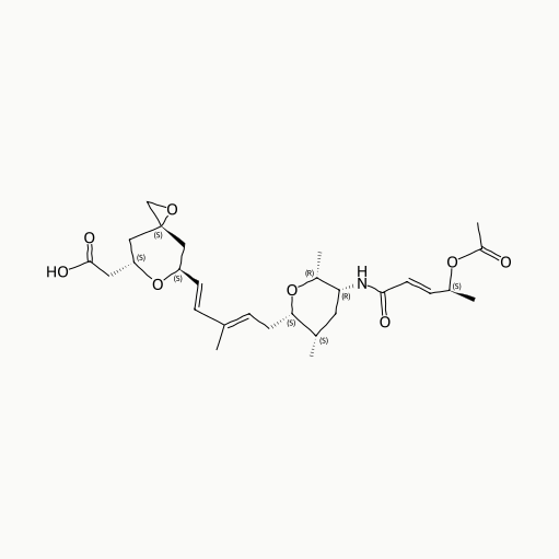 CC(=O)O[C@@H](C)C=CC(=O)N[C@@H]1C[C@H](C)[C@H](CC=C(C)C=C[C@@H]2C[C@]3(CO3)C[C@@H](CC(=O)O)O2)O[C@@H]1C